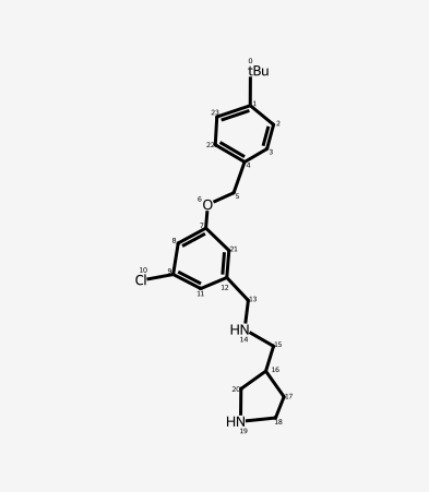 CC(C)(C)c1ccc(COc2cc(Cl)cc(CNCC3CCNC3)c2)cc1